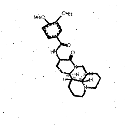 CCOc1cc(C(=O)NC2CC[C@@H]3[C@H]4CCCN5CCC[C@@H](CN3C2=O)[C@@H]45)ccc1OC